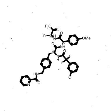 COc1ccc([C@H](NC(=O)[C@H](Cc2ccc(CNC(=O)c3ccccn3)cc2)NC(=O)C(F)(F)c2cccc(Cl)c2)C(=O)N[C@H](C(=O)C(F)(F)F)C(C)C)cc1